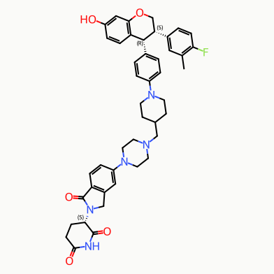 Cc1cc([C@H]2COc3cc(O)ccc3[C@H]2c2ccc(N3CCC(CN4CCN(c5ccc6c(c5)CN([C@H]5CCC(=O)NC5=O)C6=O)CC4)CC3)cc2)ccc1F